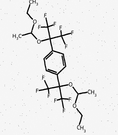 CCOC(C)OC(c1ccc(C(OC(C)OCC)(C(F)(F)F)C(F)(F)F)cc1)(C(F)(F)F)C(F)(F)F